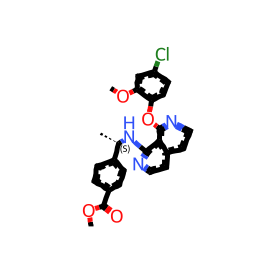 COC(=O)c1ccc([C@H](C)Nc2nccc3ccnc(Oc4ccc(Cl)cc4OC)c23)cc1